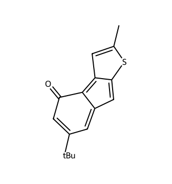 Cc1cc2c(s1)=CC1=CC(C(C)(C)C)=CC(=O)C=21